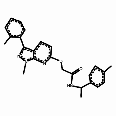 Cc1ccc(C(C)NC(=O)COc2ccc3c(-c4ccccc4C)nn(C)c3n2)cc1